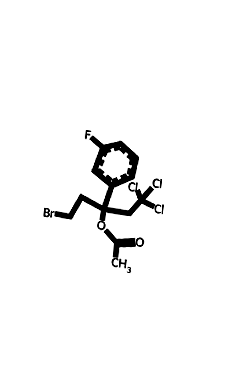 CC(=O)OC(CCBr)(CC(Cl)(Cl)Cl)c1cccc(F)c1